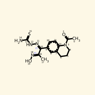 CC(=O)N1CCCc2cc(C(=N/NC(N)=S)/C(C)=N/O)ccc21